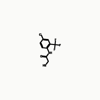 O=C(CS)Nc1ccc(Cl)cc1C(F)(F)F